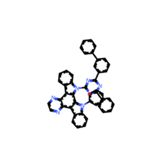 c1ccc(-c2cccc(-c3nc(-c4ccccc4)nc(-n4c5ccccc5c5c6nccnc6c6c7ccccc7n(-c7ccccc7)c6c54)n3)c2)cc1